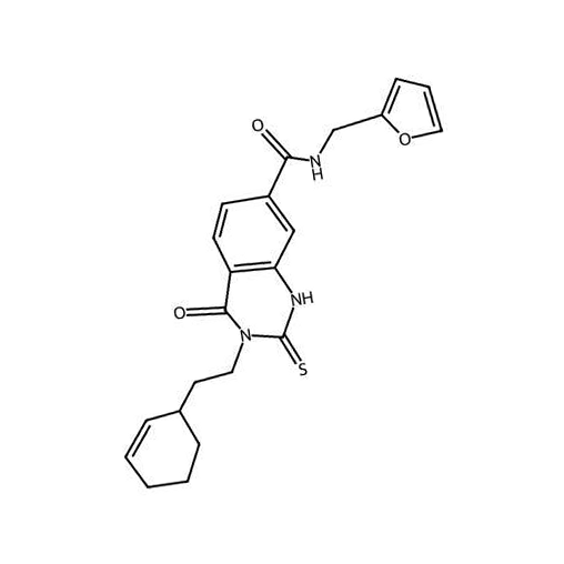 O=C(NCc1ccco1)c1ccc2c(=O)n(CCC3C=CCCC3)c(=S)[nH]c2c1